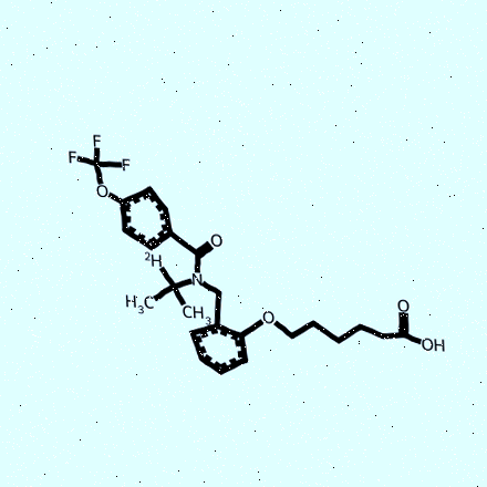 [2H]C(C)(C)N(Cc1ccccc1OCCCCCC(=O)O)C(=O)c1ccc(OC(F)(F)F)cc1